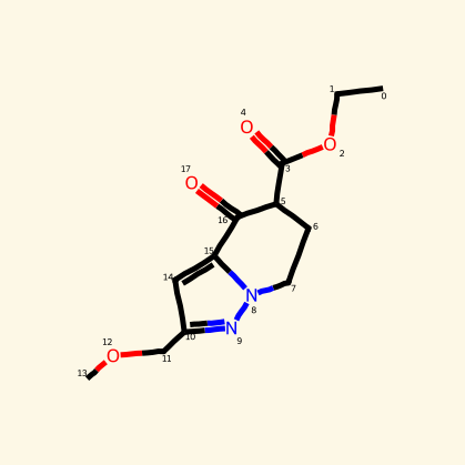 CCOC(=O)C1CCn2nc(COC)cc2C1=O